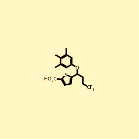 Cc1cc(OC(CCC(F)(F)F)c2ccc(C(=O)O)s2)cc(C)c1I